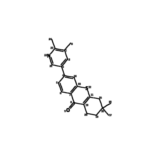 Cc1cc(-c2ccc3c(=O)c4c(sc3c2)CC(C)(C)CC4)cnc1C